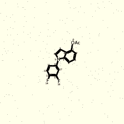 CC(=O)Oc1cccc2c1ccn2-c1ccc(F)c(F)c1